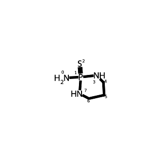 NP1(=S)NCCCN1